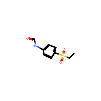 CCS(=O)(=O)c1ccc(NC=O)cc1